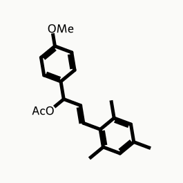 COc1ccc(C(/C=C/c2c(C)cc(C)cc2C)OC(C)=O)cc1